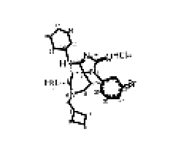 C[C@@H]1C[C@]2(CCN1CC1CCC1)C(NC1CCCCC1)=NC(=O)N2c1cccc(Br)c1.Cl